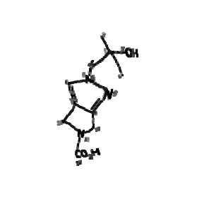 CC(C)(O)Cn1cc2c(n1)CN(C(=O)O)C2